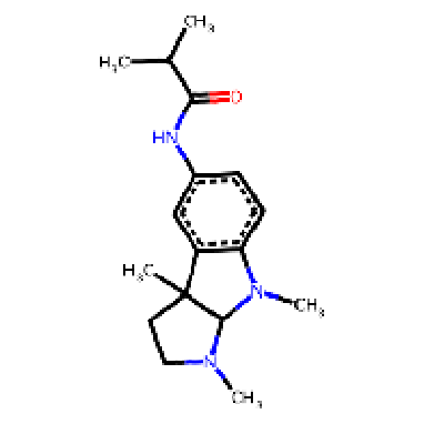 CC(C)C(=O)Nc1ccc2c(c1)C1(C)CCN(C)C1N2C